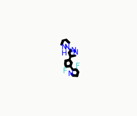 Fc1ccc(-c2cnnc(N3C=CC=CN3)c2)cc1-c1ncccc1F